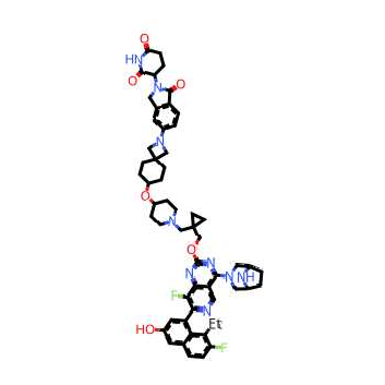 CCc1c(F)ccc2cc(O)cc(-c3ncc4c(N5CC6CCC(C5)N6)nc(OCC5(CN6CCC(OC7CCC8(CC7)CN(c7ccc9c(c7)CN(C7CCC(=O)NC7=O)C9=O)C8)CC6)CC5)nc4c3F)c12